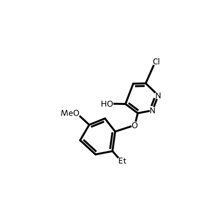 CCc1ccc(OC)cc1Oc1nnc(Cl)cc1O